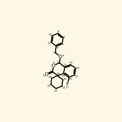 O=C1OC(OCc2ccccc2)c2cccc(F)c2C12CCCCC2